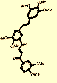 COc1ccc(C(=O)C=CNc2cc(C=Cc3cc(OC)c(OC)c(OC)c3)cc(OC)c2OC)cc1OC